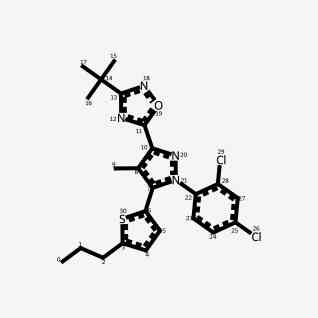 CCCc1ccc(-c2c(C)c(-c3nc(C(C)(C)C)no3)nn2-c2ccc(Cl)cc2Cl)s1